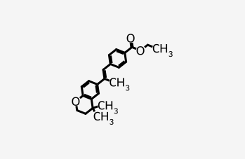 CCOC(=O)c1ccc(/C=C(\C)c2ccc3c(c2)C(C)(C)CCO3)cc1